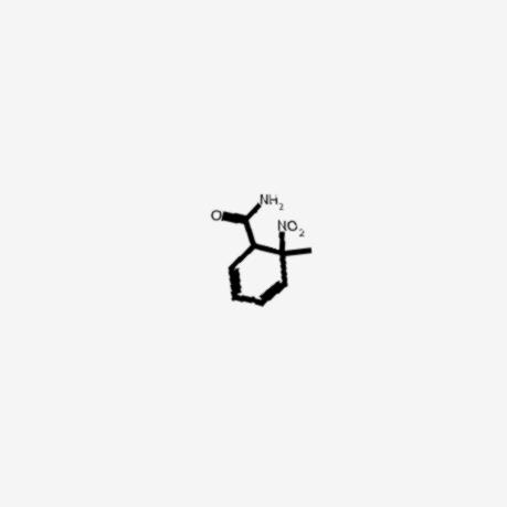 CC1([N+](=O)[O-])C=CC=CC1C(N)=O